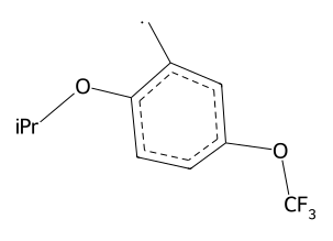 [CH2]c1cc(OC(F)(F)F)ccc1OC(C)C